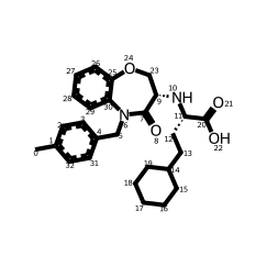 Cc1ccc(CN2C(=O)[C@@H](N[C@@H](CCC3CCCCC3)C(=O)O)COc3ccccc32)cc1